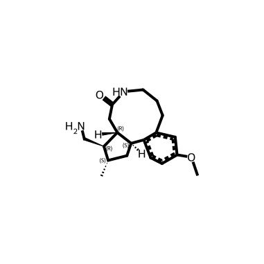 COc1ccc2c(c1)CCCNC(=O)C[C@H]1[C@H](CN)[C@@H](C)C[C@H]21